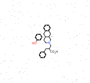 C[C@@]12Cc3ccccc3C[C@]1(c1cccc(O)c1)CCN(CC(Cc1ccccc1)C(=O)O)C2